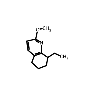 CCC1CCCc2ccc(OC)nc21